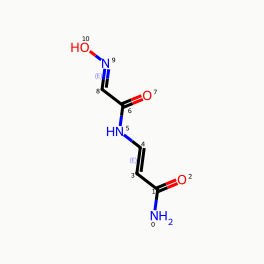 NC(=O)/C=C/NC(=O)/C=N/O